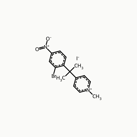 C[n+]1ccc(C(C)(C)c2ccc([N+](=O)[O-])cc2Br)cc1.[I-]